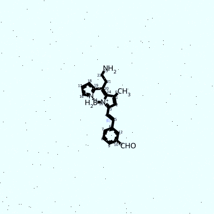 CC1=CC(/C=C/c2cccc(C=O)c2)=[N+]2[BH2-]n3cccc3C(CCN)=C12